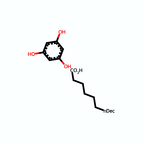 CCCCCCCCCCCCCCCC(=O)O.Oc1cc(O)cc(O)c1